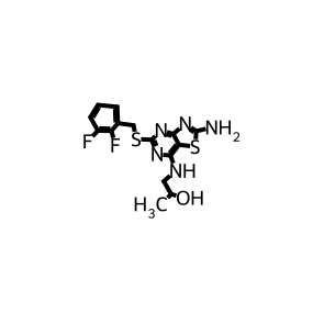 CC(O)CNc1nc(SCc2cccc(F)c2F)nc2nc(N)sc12